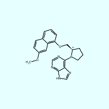 COc1ccc2cccc(OC[C@H]3CCCN3c3ncnc4[nH]cnc34)c2c1